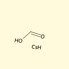 O=CO.[CsH]